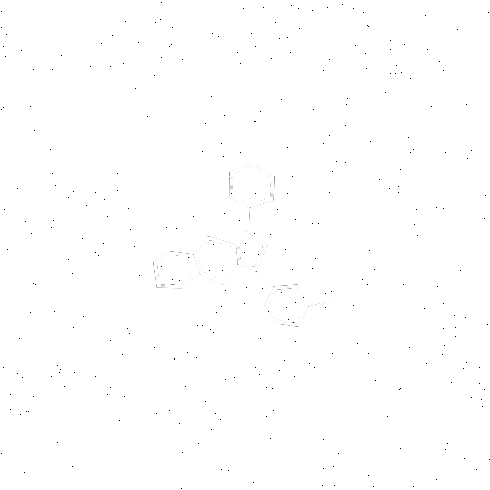 Brc1cccc(-c2cn(-c3ccccc3)c3cc4ccccc4cc23)c1